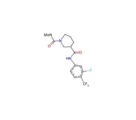 CNC(=O)N1CCCC(C(=O)Nc2ccc(C(F)(F)F)c(F)c2)C1